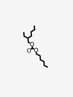 CCCCCCOC(=O)OCC(CC)CCCC